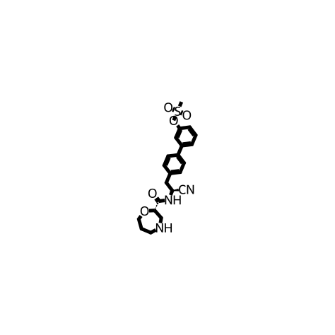 CS(=O)(=O)Oc1cccc(-c2ccc(C[C@@H](C#N)NC(=O)[C@@H]3CNCCCO3)cc2)c1